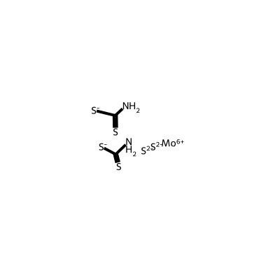 NC(=S)[S-].NC(=S)[S-].[Mo+6].[S-2].[S-2]